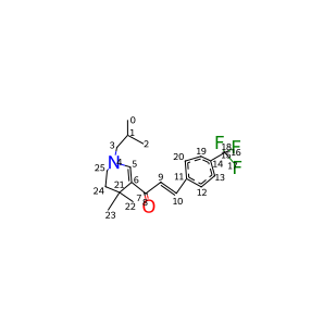 CC(C)CN1C=C(C(=O)C=Cc2ccc(C(F)(F)F)cc2)C(C)(C)CC1